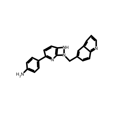 Nc1ccc(-c2ccc3[nH]n(Cc4ccc5ncccc5c4)c3n2)cc1